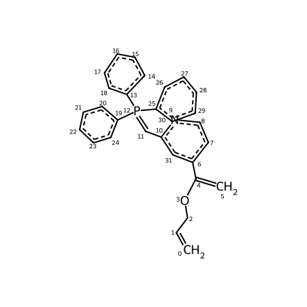 C=CCOC(=C)c1ccnc(C=P(c2ccccc2)(c2ccccc2)c2ccccc2)c1